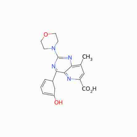 Cc1cc(C(=O)O)nc2c(C3C=CC=C(O)C3)nc(N3CCOCC3)nc12